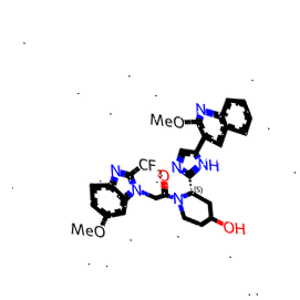 COc1ccc2nc(C(F)(F)F)n(CC(=O)N3CCC(O)C[C@H]3c3ncc(-c4cc5ccccc5nc4OC)[nH]3)c2c1